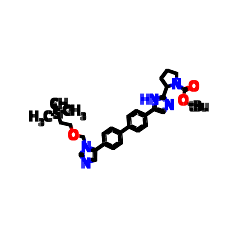 CC(C)(C)OC(=O)N1CCCC1c1ncc(-c2ccc(-c3ccc(-c4cncn4COCC[Si](C)(C)C)cc3)cc2)[nH]1